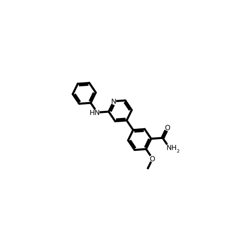 COc1ccc(-c2ccnc(Nc3ccccc3)c2)cc1C(N)=O